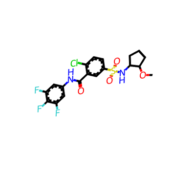 COC1CCCC1NS(=O)(=O)c1ccc(Cl)c(C(=O)Nc2cc(F)c(F)c(F)c2)c1